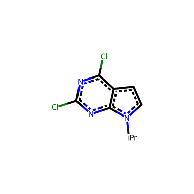 CC(C)n1ccc2c(Cl)nc(Cl)nc21